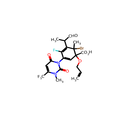 C=CCOC1(C(=O)O)C=C(n2c(=O)cc(C(F)(F)F)n(C)c2=O)C(F)=C(C(C)C=O)C1(C)Br